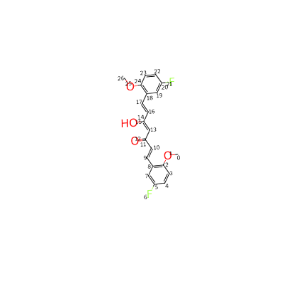 COc1ccc(F)cc1/C=C/C(=O)/C=C(O)/C=C/c1cc(F)ccc1OC